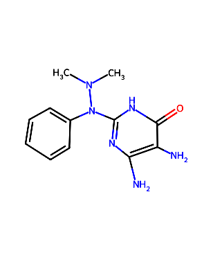 CN(C)N(c1ccccc1)c1nc(N)c(N)c(=O)[nH]1